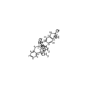 CC1(C)[C@H]2Cc3ccccc3[C@]1(C)CCN2C(=O)c1ccc2c(c1)CC(=O)N2